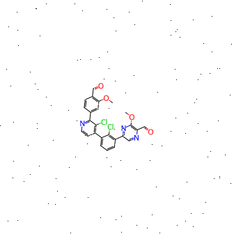 COc1cc(-c2nccc(-c3cccc(-c4cnc(C=O)c(OC)n4)c3Cl)c2Cl)ccc1C=O